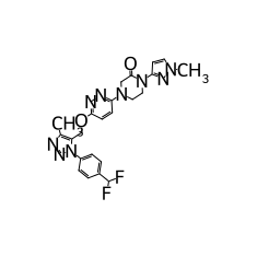 Cc1nnn(-c2ccc(C(F)F)cc2)c1COc1ccc(N2CCN(c3ccn(C)n3)C(=O)C2)nn1